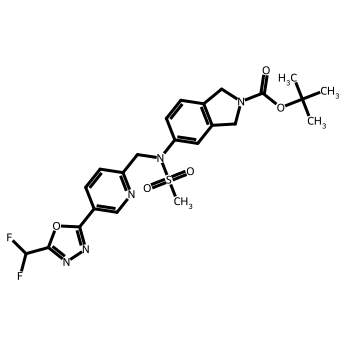 CC(C)(C)OC(=O)N1Cc2ccc(N(Cc3ccc(-c4nnc(C(F)F)o4)cn3)S(C)(=O)=O)cc2C1